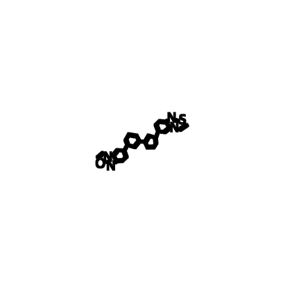 c1cc(-c2cccc(-c3ccc4nc5sccn5c4c3)c2)cc(-c2ccc3nc4occn4c3c2)c1